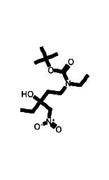 CCN(CCC(O)(CC)C[N+](=O)[O-])C(=O)OC(C)(C)C